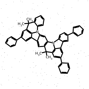 CC1(C)c2cc3c4cc(-c5ccccc5)cc5c4n(c3cc2-n2c3ccc(-c4ccccc4)cc3c3cc(-c4ccccc4)cc1c32)-c1ccccc1C5(C)C